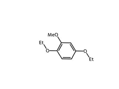 CCOc1ccc(OCC)c(OC)c1